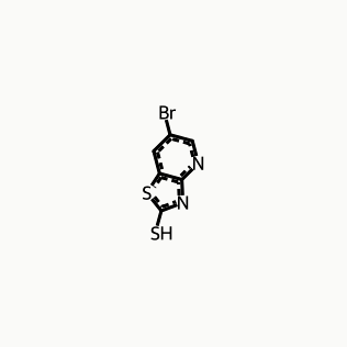 Sc1nc2ncc(Br)cc2s1